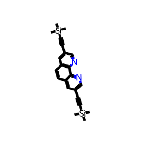 C[Si](C)(C)C#Cc1cnc2c(ccc3cc(C#C[Si](C)(C)C)cnc32)c1